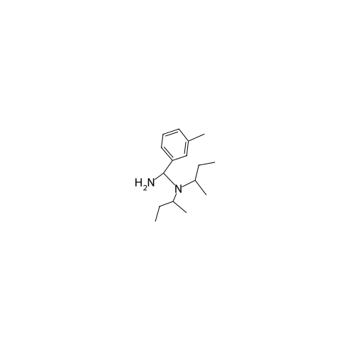 CCC(C)N(C(C)CC)C(N)c1cccc(C)c1